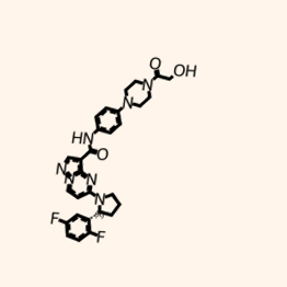 O=C(Nc1ccc(N2CCN(C(=O)CO)CC2)cc1)c1cnn2ccc(N3CCC[C@@H]3c3cc(F)ccc3F)nc12